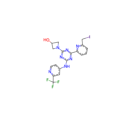 OC1CN(c2nc(Nc3ccnc(C(F)(F)F)c3)nc(-c3cccc(CI)n3)n2)C1